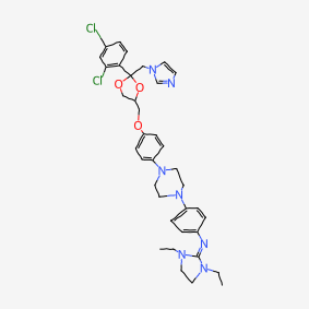 CCN1CCN(CC)C1=Nc1ccc(N2CCN(c3ccc(OCC4COC(Cn5ccnc5)(c5ccc(Cl)cc5Cl)O4)cc3)CC2)cc1